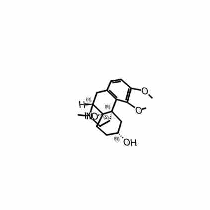 COc1ccc2c(c1OC)[C@]13CCN(C)[C@H](C2)[C@]1(O)CC[C@@H](O)C3